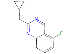 Fc1cccc2nc(CC3CC3)ncc12